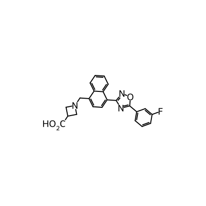 O=C(O)C1CN(Cc2ccc(-c3noc(-c4cccc(F)c4)n3)c3ccccc23)C1